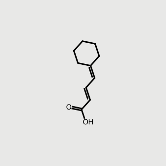 O=C(O)/C=C/C=C1CCCCC1